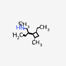 C=C/C(CNC)=C1/C(CC)C[C@@H]1C